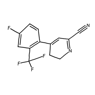 N#CC1=NCCC(c2ccc(F)cc2C(F)(F)F)=C1